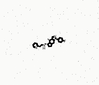 C[C@@H]1C2=C(CC[C@@H]2CNCCc2ccccn2)Cc2c1cnn2-c1ccc(F)cc1